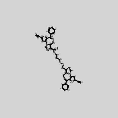 C#Cc1cc2c(s1)C(c1ccccc1)=NCc1c(COOCCCOC(=O)c3ncn4c3CN=C(c3ccccc3)c3sc(C#C)cc3-4)ncn1-2